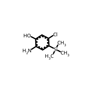 C[Si](C)(C)c1cc(N)c(O)cc1Cl